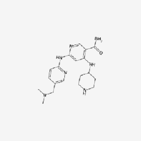 CN(C)Cc1ccc(Nc2cc(NC3CCNCC3)c(C(N)=O)cn2)nc1